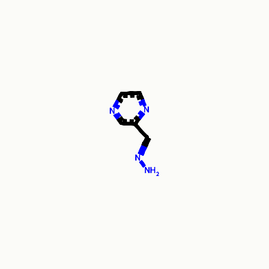 NN=Cc1cnccn1